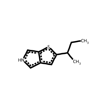 CCC(C)c1cc2c[nH]cc2s1